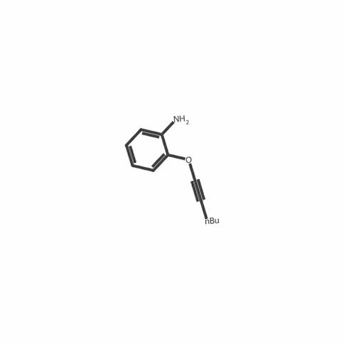 CCCCC#COc1ccccc1N